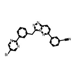 N#Cc1cccc(-c2ccc3nnc(Cc4cccc(-c5ncc(Br)cn5)c4)n3n2)c1